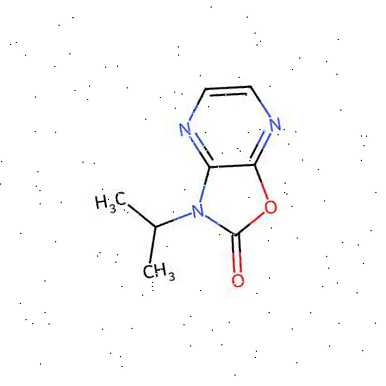 CC(C)n1c(=O)oc2nccnc21